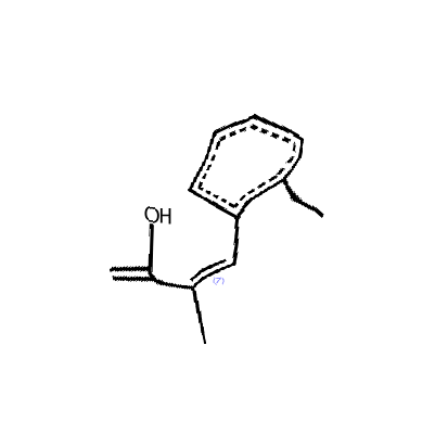 C=C(O)/C(C)=C\c1ccccc1C